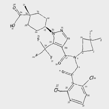 CC1(C)CC(N(CC(=O)c2c(Cl)cccc2Cl)C(=O)c2cnn([C@H]3CC[C@](C)(C(=O)O)CC3)c2C(F)(F)F)C1